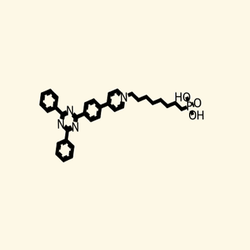 O=P(O)(O)CCCCCCCC[n+]1ccc(-c2ccc(-c3nc(-c4ccccc4)nc(-c4ccccc4)n3)cc2)cc1